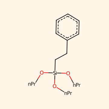 CCCO[Si](CCc1ccccc1)(OCCC)OCCC